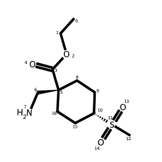 CCOC(=O)[C@]1(CN)CC[C@H](S(C)(=O)=O)CC1